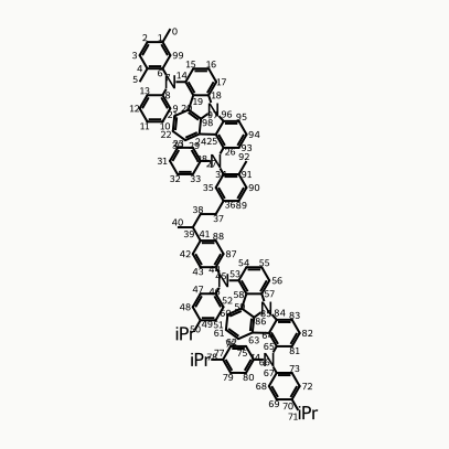 Cc1ccc(C)c(N(c2ccccc2)c2cccc3c2c2cccc4c5c(N(c6ccccc6)c6cc(CCC(C)c7ccc(N(c8ccc(C(C)C)cc8)c8cccc9c8c8cccc%10c%11c(N(c%12ccc(C(C)C)cc%12)c%12ccc(C(C)C)cc%12)cccc%11n9c%108)cc7)ccc6C)cccc5n3c24)c1